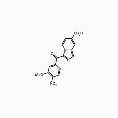 COc1cc(C(=O)c2ncc3cc(C(=O)O)ccn23)ccc1[N+](=O)[O-]